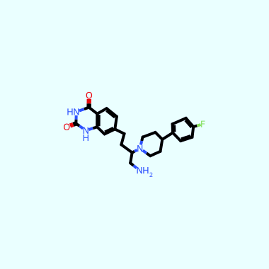 NCC(CCc1ccc2c(=O)[nH]c(=O)[nH]c2c1)N1CCC(c2ccc(F)cc2)CC1